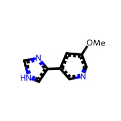 COc1cncc(-c2c[nH]cn2)c1